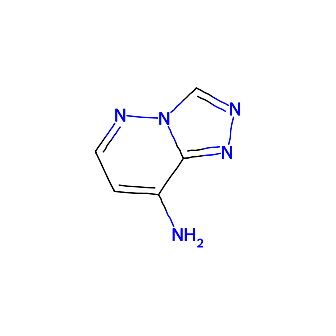 Nc1ccnn2cnnc12